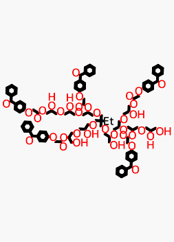 CCC(COCC(O)COCC(CO)OC(=O)COc1ccc(C(=O)c2ccccc2)cc1)(COCC(CO)OCC(COCC(O)COC(=O)COc1ccc(C(=O)c2ccccc2)cc1)OCC(COCC(O)CO)OC(=O)COc1ccc(C(=O)c2ccccc2)cc1)COCC(COCC(O)COCC(O)COC(=O)COc1ccc(C(=O)c2ccccc2)cc1)OC(=O)COc1ccc(C(=O)c2ccccc2)cc1